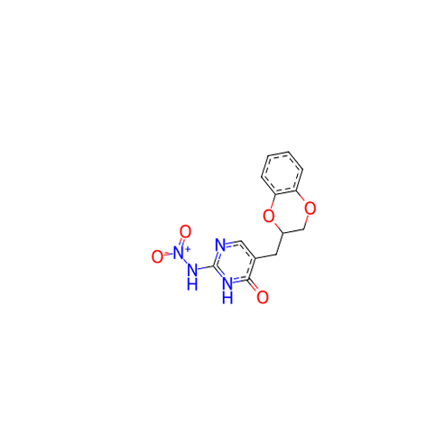 O=c1[nH]c(N[N+](=O)[O-])ncc1CC1COc2ccccc2O1